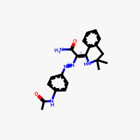 CC(=O)Nc1ccc(/N=N/C(C(N)=O)=C2\NC(C)(C)Cc3ccccc32)cc1